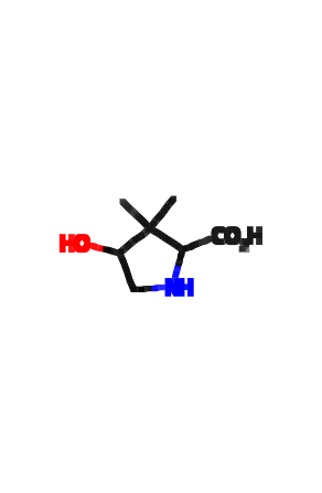 CC1(C)C(O)CNC1C(=O)O